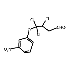 O=[C]CC(Cl)C(Cl)(Cl)Oc1cccc([N+](=O)[O-])c1